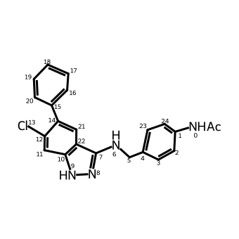 CC(=O)Nc1ccc(CNc2n[nH]c3cc(Cl)c(-c4ccccc4)cc23)cc1